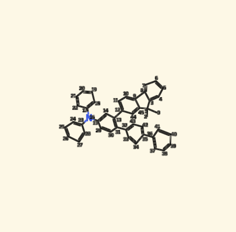 CC1(C)c2ccccc2-c2ccc(-c3cc(N(c4ccccc4)c4ccccc4)ccc3-c3ccc(-c4ccccc4)cc3)cc21